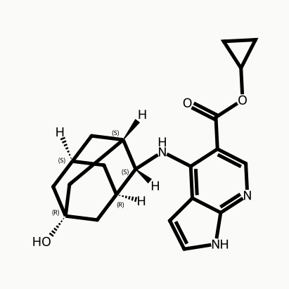 O=C(OC1CC1)c1cnc2[nH]ccc2c1N[C@@H]1[C@@H]2C[C@@H]3C[C@H]1C[C@](O)(C3)C2